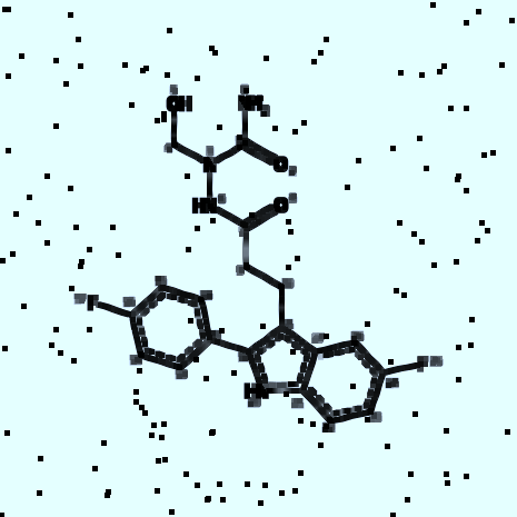 NC(=O)N(CO)NC(=O)CCc1c(-c2ccc(F)cc2)[nH]c2ccc(F)cc12